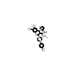 CC1=C(C(=O)N2CCN(c3ccc(Cl)cc3)CC2)C(c2ccc(Cl)c(Cl)c2)n2nccc2N1